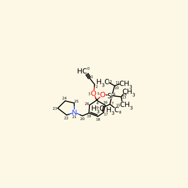 C#CCOC1(O[Si](C(C)C)(C(C)C)C(C)C)C=CC=C(CN2CCCC2)C1